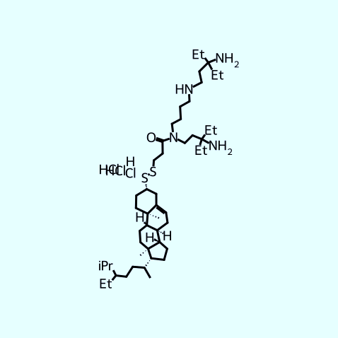 CCC(CCC(C)[C@H]1CC[C@H]2[C@@H]3CC=C4C[C@@H](SSCCC(=O)N(CCCCNCCC(N)(CC)CC)CCC(N)(CC)CC)CC[C@]4(C)[C@H]3CC[C@]12C)C(C)C.Cl.Cl.Cl